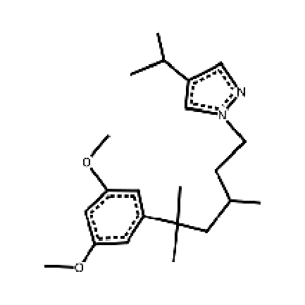 COc1cc(OC)cc(C(C)(C)CC(C)CCn2cc(C(C)C)cn2)c1